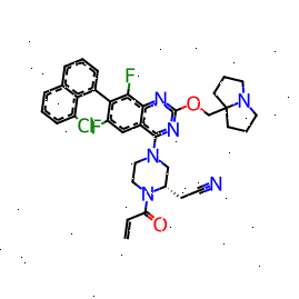 C=CC(=O)N1CCN(c2nc(OCC34CCCN3CCC4)nc3c(F)c(-c4cccc5cccc(Cl)c45)c(F)cc23)C[C@@H]1CC#N